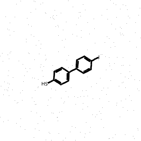 Sc1ccc(-c2ccc(I)cc2)cc1